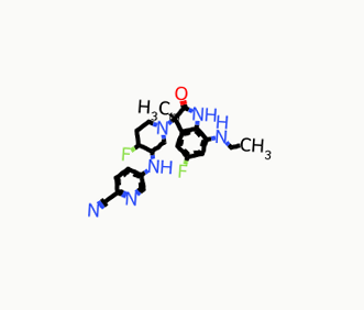 CCNc1cc(F)cc2c1NC(=O)[C@@]2(C)N1CCC(F)C(Nc2ccc(C#N)nc2)C1